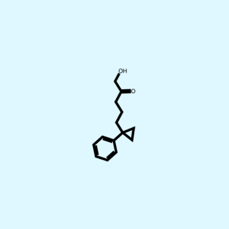 O=C(CO)CCCC1(c2ccccc2)CC1